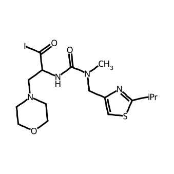 CC(C)c1nc(CN(C)C(=O)NC(CN2CCOCC2)C(=O)I)cs1